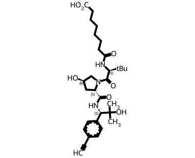 C#Cc1ccc([C@H](NC(=O)[C@@H]2C[C@@H](O)CN2C(=O)[C@@H](NC(=O)CCCCCCC(=O)O)C(C)(C)C)C(C)(C)O)cc1